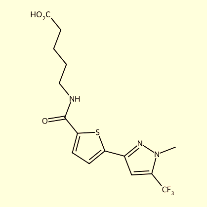 Cn1nc(-c2ccc(C(=O)NCCCCC(=O)O)s2)cc1C(F)(F)F